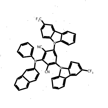 N#Cc1c(-n2c3ccccc3c3cc(C(F)(F)F)ccc32)cc(-n2c3ccccc3c3cc(C(F)(F)F)ccc32)c(C#N)c1N(c1ccccc1)c1ccc2ccccc2c1